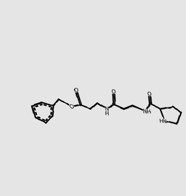 O=C(CCNC(=O)C1CCCN1)NCCC(=O)OCc1ccccc1